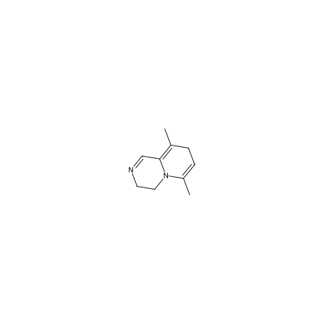 CC1=CCC(C)=C2C=NCCN12